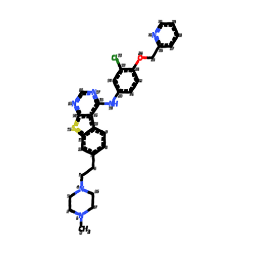 CN1CCN(CCc2ccc3c(c2)sc2ncnc(Nc4ccc(OCc5ccccn5)c(Cl)c4)c23)CC1